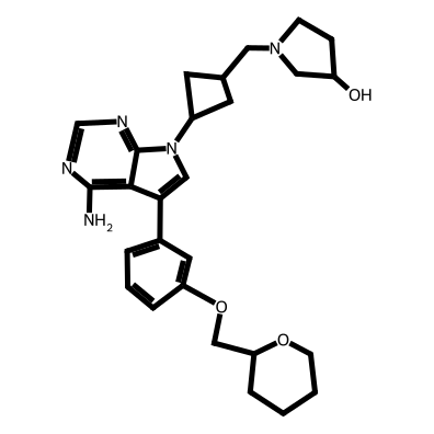 Nc1ncnc2c1c(-c1cccc(OCC3CCCCO3)c1)cn2C1CC(CN2CCC(O)C2)C1